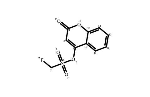 O=c1cc(OS(=O)(=O)CF)c2ccccc2o1